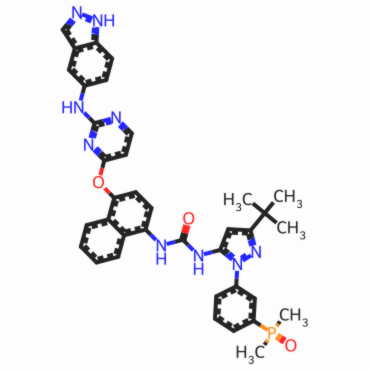 CC(C)(C)c1cc(NC(=O)Nc2ccc(Oc3ccnc(Nc4ccc5[nH]ncc5c4)n3)c3ccccc23)n(-c2cccc(P(C)(C)=O)c2)n1